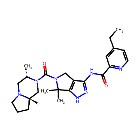 CCc1ccnc(C(=O)Nc2n[nH]c3c2CN(C(=O)N2C[C@@H]4CCCN4C[C@@H]2C)C3(C)C)c1